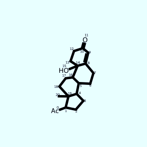 CC(=O)C1CCC2C3CCC4=CC(=O)CCC4(O)C3CCC12C